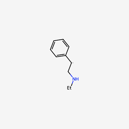 CCNC[CH]c1ccccc1